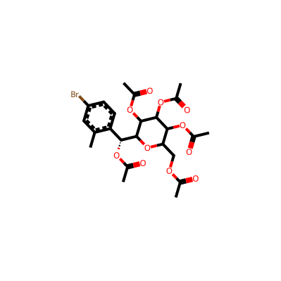 CC(=O)OCC1OC([C@H](OC(C)=O)c2ccc(Br)cc2C)C(OC(C)=O)C(OC(C)=O)C1OC(C)=O